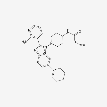 CC(C)(C)OC(=O)NC1CCN(n2c(-c3cccnc3N)nc3ccc(C4=CCCCC4)nc32)CC1